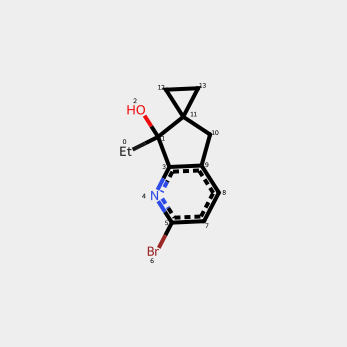 CCC1(O)c2nc(Br)ccc2CC12CC2